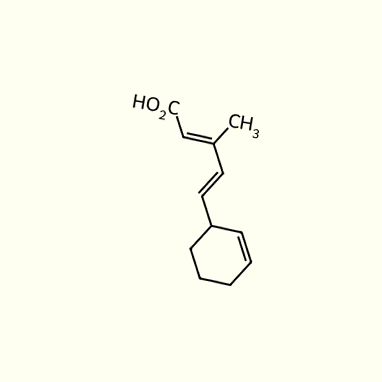 CC(C=CC1C=CCCC1)=CC(=O)O